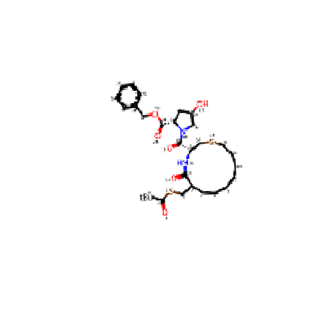 CC(C)(C)C(=O)SCC1CCCCCCCSC[C@@H](C(=O)N2C[C@H](O)C[C@H]2C(=O)OCc2ccccc2)NC1=O